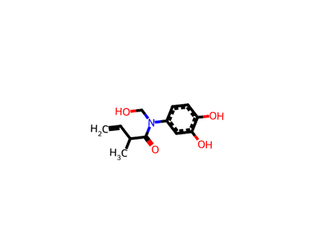 C=CC(C)C(=O)N(CO)c1ccc(O)c(O)c1